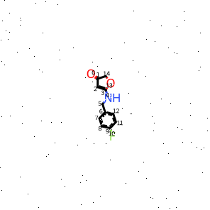 O=C1C=C(NCc2ccc(F)cc2)OC1